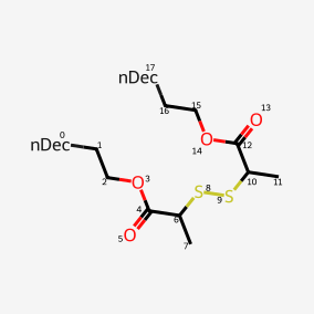 CCCCCCCCCCCCOC(=O)C(C)SSC(C)C(=O)OCCCCCCCCCCCC